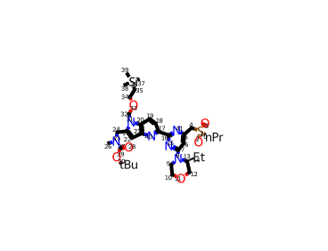 CCCS(=O)(=O)Cc1cc(N2CCOC[C@@H]2CC)nc(-c2ccc3c(cc(CN(C)C(=O)OC(C)(C)C)n3COCC[Si](C)(C)C)n2)n1